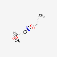 CCCCCC/C=C\CC(=O)Oc1cnc(-c2ccc(CCCCC(C)OC(C)=O)cc2)nc1